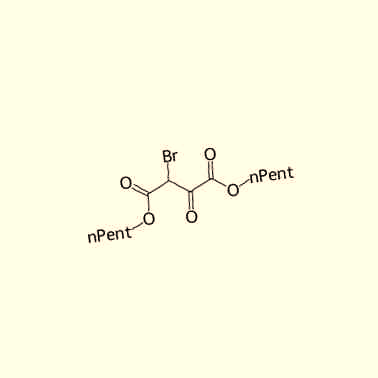 CCCCCOC(=O)C(=O)C(Br)C(=O)OCCCCC